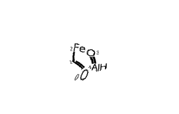 O=[CH][Fe].[O]=[AlH]